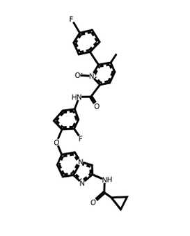 Cc1ccc(C(=O)Nc2ccc(Oc3ccc4nc(NC(=O)C5CC5)cn4c3)c(F)c2)[n+]([O-])c1-c1ccc(F)cc1